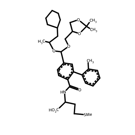 CSCCC(NC(=O)c1ccc(C(OCC2COC(C)(C)O2)OC(C)CC2CCCCC2)cc1-c1ccccc1C)C(=O)O